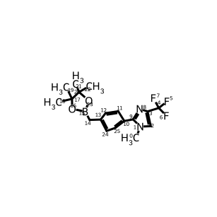 Cn1cc(C(F)(F)F)nc1-c1ccc(CB2OC(C)(C)C(C)(C)O2)cc1